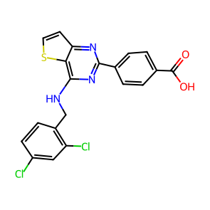 O=C(O)c1ccc(-c2nc(NCc3ccc(Cl)cc3Cl)c3sccc3n2)cc1